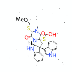 COCS[C@H]1C(=O)N2[C@H]3Nc4ccccc4[C@@]3(c3c[nH]c4ccccc34)C[C@]2(SCO)C(=O)N1C